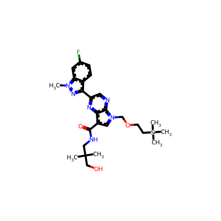 Cn1nc(-c2cnc3c(n2)c(C(=O)NCC(C)(C)CO)cn3COCC[Si](C)(C)C)c2ccc(F)cc21